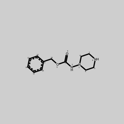 O=C(NN1CCNCC1)OCc1ccccc1